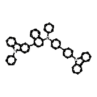 c1ccc(N(c2ccc(-c3ccc(-n4c5ccccc5c5ccccc54)cc3)cc2)c2ccc(-c3ccc4c(c3)c3ccccc3n4-c3ccccc3)c3ccccc23)cc1